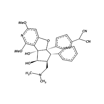 COc1cc2c(c(OC)n1)[C@]1(O)[C@H](O)[C@H](CN(C)C)[C@@H](c3ccccc3)[C@]1(c1ccc(C(C#N)C#N)cc1)O2